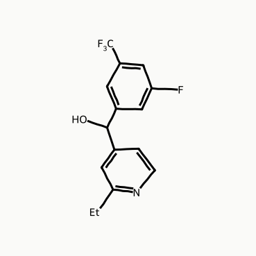 CCc1cc(C(O)c2cc(F)cc(C(F)(F)F)c2)ccn1